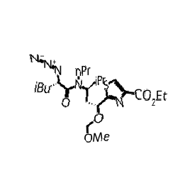 CCCN(C(=O)[C@@H](N=[N+]=[N-])C(C)CC)[C@H](C[C@@H](OCOC)c1nc(C(=O)OCC)cs1)C(C)C